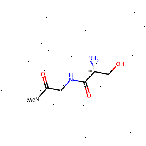 CNC(=O)CNC(=O)[C@H](N)CO